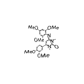 COc1cc(OC)c(N=c2cc(-c3ccc(OC)c(OC)c3)n(C)c(=O)n2C)c(OC)c1